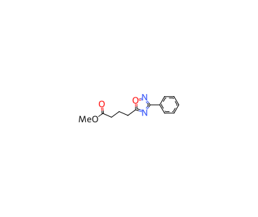 COC(=O)CCCc1nc(-c2ccccc2)no1